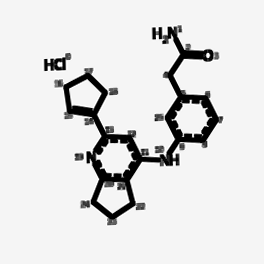 Cl.NC(=O)Cc1cccc(Nc2cc(C3=CCCC3)nc3c2CCC3)c1